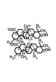 C[C@H]1[C@H](C)CC[C@]2(C(=O)[O-])CC[C@]3(C)C(=CCC4[C@@]5(C)CC[C@H](O)C(C)(C)C5CC[C@]43C)[C@H]12.C[C@H]1[C@H](C)CC[C@]2(C(=O)[O-])CC[C@]3(C)C(=CCC4[C@@]5(C)CC[C@H](O)C(C)(C)C5CC[C@]43C)[C@H]12.[Ca+2]